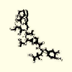 CCCCCCN(C(=O)[C@@H](NC(=O)[C@@]1(C)CCCN1)[C@@H](C)CC)[C@H](C[C@@H](OC(C)=O)c1nc(C(=O)N[C@@H](Cc2ccc(N)c(F)c2)CC(C)(C)C(=O)O)cs1)C(C)C